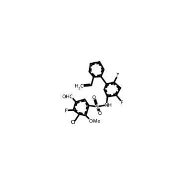 C=Cc1ccccc1-c1cc(NS(=O)(=O)c2cc(C=O)c(F)c(Cl)c2OC)c(F)cc1F